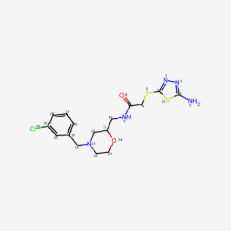 Nc1nnc(SCC(=O)NCC2CN(Cc3cccc(Cl)c3)CCO2)s1